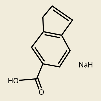 O=C(O)c1ccc2c(c1)CC=C2.[NaH]